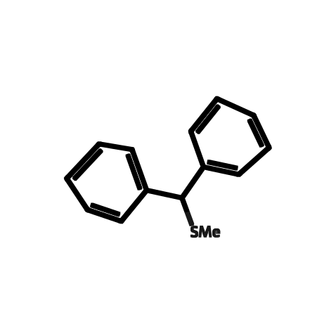 [CH2]SC(c1ccccc1)c1ccccc1